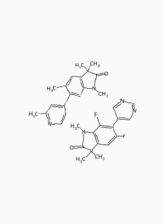 CN1C(=O)C(C)(C)c2cc(F)c(-c3cncnc3)c(F)c21.Cc1cc(-c2cc3c(cc2C)C(C)(C)C(=O)N3C)ccn1